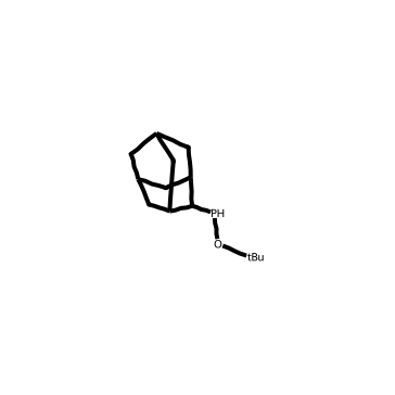 CC(C)(C)OPC1C2CC3CC(C2)CC1C3